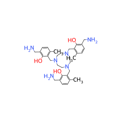 Cc1ccc(CN)c(O)c1CN1CCN(Cc2c(C)ccc(CN)c2O)CCN(Cc2c(C)ccc(CN)c2O)CC1